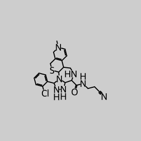 CN1C=CC2=C(CSC3C2CNC(C(=O)NCCC#N)C2NNC(c4ccccc4Cl)N23)C1